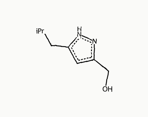 CC(C)Cc1cc(CO)n[nH]1